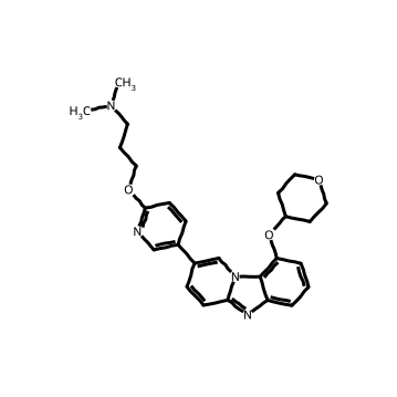 CN(C)CCCOc1ccc(-c2ccc3nc4cccc(OC5CCOCC5)c4n3c2)cn1